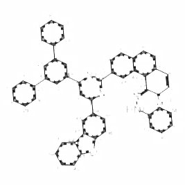 N=C1C=Cc2ccc3ccc(-c4nc(-c5cc(-c6ccccc6)cc(-c6ccccc6)c5)cc(-c5ccc6oc7ccccc7c6c5)n4)cc3c2/C1=N/Nc1ccccc1